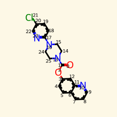 O=C(Oc1ccc2cccnc2c1)N1CCN(c2ccc(Cl)cn2)CC1